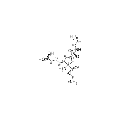 CCOC(=O)[C@]1(N)CN(S(=O)(=O)NCCN)C[C@@H]1CCCB(O)O